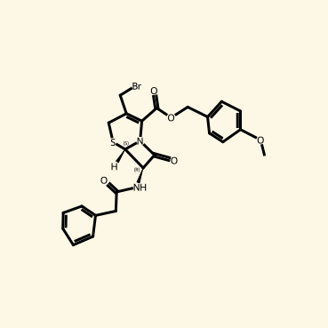 COc1ccc(COC(=O)C2=C(CBr)CS[C@H]3[C@H](NC(=O)Cc4ccccc4)C(=O)N23)cc1